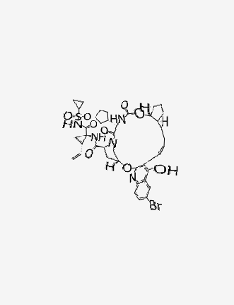 C=C[C@@H]1C[C@]1(NC(=O)[C@@H]1C[C@@H]2CN1C(=O)[C@H](C1CCCC1)NC(=O)O[C@@H]1CCC[C@H]1CCC=CCc1c(nc3ccc(Br)cc3c1O)O2)C(=O)NS(=O)(=O)C1CC1